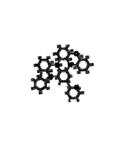 c1ccc(-c2cc3c4c(c2)-n2c5ccccc5c5cccc(c52)B4c2cccc4c2N3c2ccccc2O4)nc1